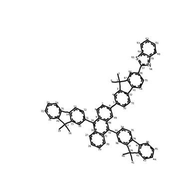 CC1(C)c2cc(-c3ccc4c(-c5ccc6c(c5)C(C)(C)c5ccccc5-6)c5ccccc5c(-c5ccc6c(c5)C(C)(C)c5ccccc5-6)c4c3)ccc2-c2ccc(-c3nc4ccccc4s3)cc21